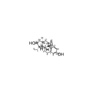 CC[C@H]1[C@H]2[C@@H]3CCc4cc(O)ccc4[C@H]3[C@@H](F)C[C@]2(C)C[C@H]1O